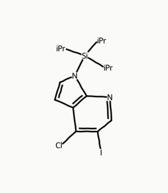 CC(C)[Si](C(C)C)(C(C)C)n1ccc2c(Cl)c(I)cnc21